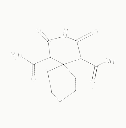 NC(=O)C1C(=O)NC(=O)C(C(N)=O)C12CCCCC2